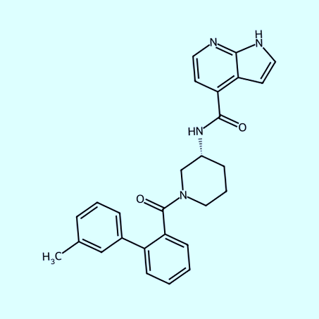 Cc1cccc(-c2ccccc2C(=O)N2CCC[C@@H](NC(=O)c3ccnc4[nH]ccc34)C2)c1